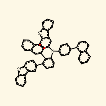 c1cc(-c2ccc3sc4ccccc4c3c2)c(-c2ccc3ccccc3c2)c(N(c2ccc(-c3cccc4ccccc34)cc2)c2ccc3sc4ccccc4c3c2)c1